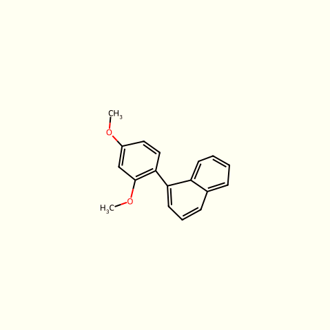 COc1ccc(-c2cccc3ccccc23)c(OC)c1